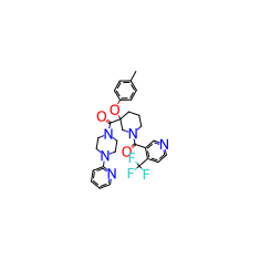 Cc1ccc(OC2(C(=O)N3CCN(c4ccccn4)CC3)CCCN(C(=O)c3cnccc3C(F)(F)F)C2)cc1